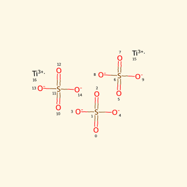 O=S(=O)([O-])[O-].O=S(=O)([O-])[O-].O=S(=O)([O-])[O-].[Ti+3].[Ti+3]